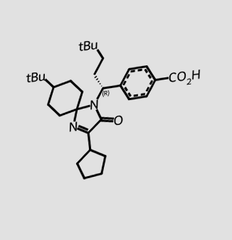 CC(C)(C)CC[C@H](c1ccc(C(=O)O)cc1)N1C(=O)C(C2CCCC2)=NC12CCC(C(C)(C)C)CC2